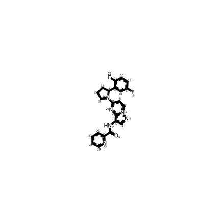 O=C(Nc1cnn2ccc(N3CCCC3c3cc(F)ccc3F)nc12)c1ccccn1